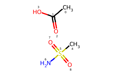 CC(=O)O.CS(N)(=O)=O